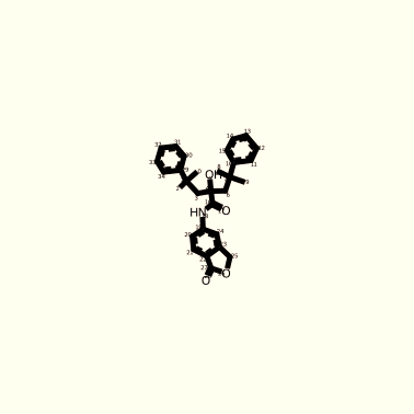 CC(C)(CC(O)(CC(C)(C)c1ccccc1)C(=O)Nc1ccc2c(c1)COC2=O)c1ccccc1